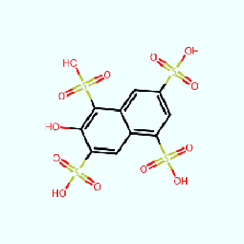 O=S(=O)(O)c1cc(S(=O)(=O)O)c2cc(S(=O)(=O)O)c(O)c(S(=O)(=O)O)c2c1